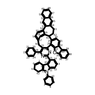 C1=Cc2c(n(-c3ccccc3)c3cccc(-c4nc(-c5ccccc5)c5c(n4)-c4c(ccc6c4oc4ccccc46)C4CCc6cc7ccccc7cc6-c6ccc(cc64)C5)c23)CC1